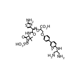 C[n+]1cc(-c2ccc(OCC(O/N=C(\C(=O)N[C@@H]3C(=O)N(OS(=O)(=O)O)C3(C)C)c3csc(N)n3)C(=O)O)cc2)ccc1NC(CN)CN